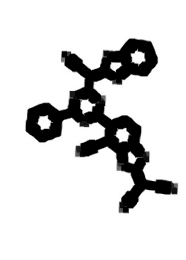 N#CC(C#N)=C1N=c2ccc(-c3nc(C(C#N)=C4N=c5ccccc5=N4)nc(-c4ccccc4)n3)c(C#N)c2=N1